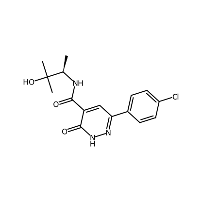 C[C@@H](NC(=O)c1cc(-c2ccc(Cl)cc2)n[nH]c1=O)C(C)(C)O